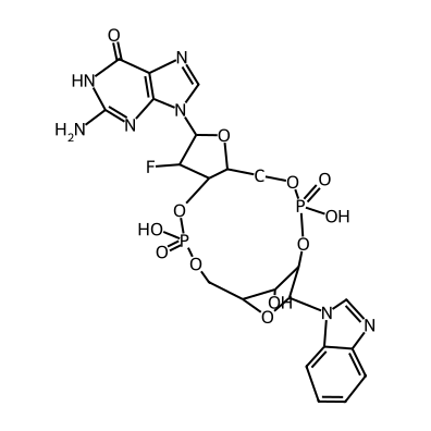 Nc1nc2c(ncn2C2OC3COP(=O)(O)OC4C(O)C(COP(=O)(O)OC3C2F)OC4n2cnc3ccccc32)c(=O)[nH]1